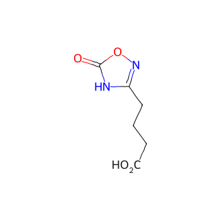 O=C(O)CCCc1noc(=O)[nH]1